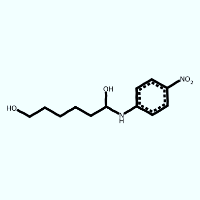 O=[N+]([O-])c1ccc(NC(O)CCCCCO)cc1